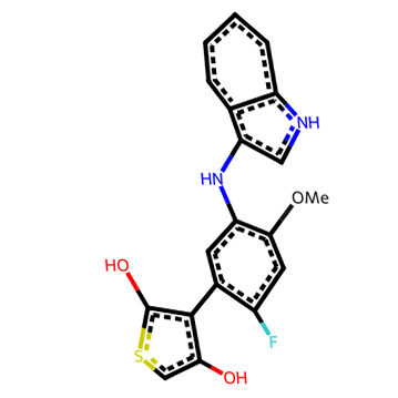 COc1cc(F)c(-c2c(O)csc2O)cc1Nc1c[nH]c2ccccc12